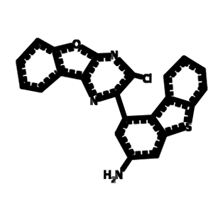 Nc1cc(-c2nc3c(nc2Cl)oc2ccccc23)c2c(c1)sc1ccccc12